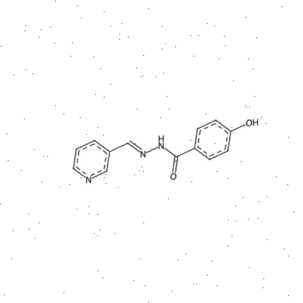 O=C(NN=Cc1cccnc1)c1ccc(O)cc1